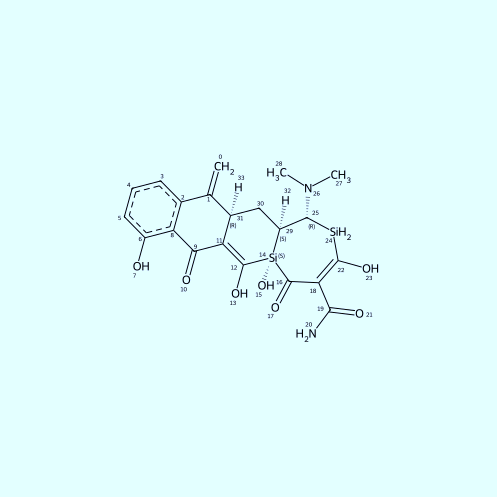 C=C1c2cccc(O)c2C(=O)C2=C(O)[Si@]3(O)C(=O)C(C(N)=O)=C(O)[SiH2][C@@H](N(C)C)[C@@H]3C[C@H]12